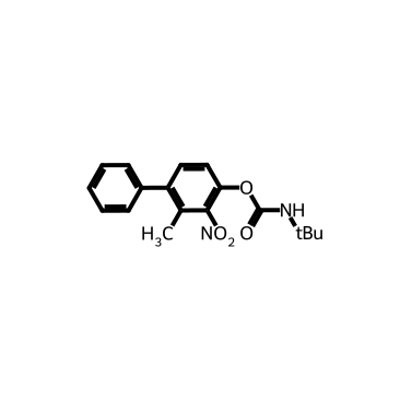 Cc1c(-c2ccccc2)ccc(OC(=O)NC(C)(C)C)c1[N+](=O)[O-]